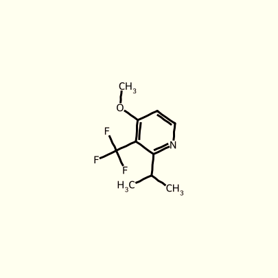 COc1ccnc(C(C)C)c1C(F)(F)F